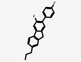 CCCc1ccc2c(c1)Cc1cc(-c3ccc(F)cc3)c(F)cc1-2